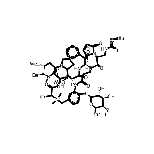 CC[C@H](C)[C@@H]([C@@H](CC(=O)N1CCCC1[C@H](OC)[C@@H](C)C(=O)N[C@H](C)[C@@H](O)c1ccccc1)OC)N(C)C(=O)C(NC(=O)C(C(C)C)[N+](C)(C)Cc1ccc(O[C@@H]2O[C@H](C(=O)O)[C@@H](O)[C@H](O)[C@H]2O)c(NC(=O)CCNC(=O)C(CNC(=O)OC(C)(C)C)N2C(=O)C=CC2=O)c1)C(C)C